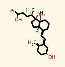 C=C1CC[C@@H](O)C/C1=C/C=C1\CCC[C@@]2(C)[C@H]1CC[C@]2(O)[C@H](C)CCC(O)C(C)C